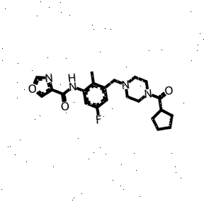 Cc1c(CN2CCN(C(=O)C3CCCC3)CC2)cc(F)cc1NC(=O)c1cocn1